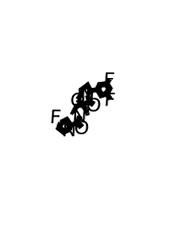 O=C(c1cc(F)ccn1)N1CCC2(CC1)OC1CCC(c3cc(F)cc(F)c3)N1C2=O